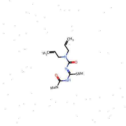 C=CCN(CC=C)C(=O)N=C(NC(=O)NC)SC